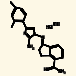 Cc1ccc(-c2cn(N=C3CCc4c(C(=N)N)cccc43)c(N)n2)c(C)c1.Cl.Cl